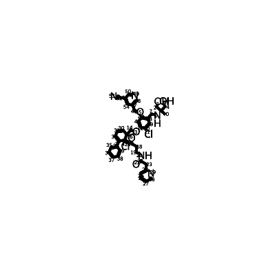 CC(CO)(CO)NCc1cc(Cl)c(OCC2(OCCCNC(=O)Cc3ccccn3)C=CC=C(c3ccccc3)C2(C)Cl)cc1OCc1cncc(C#N)c1